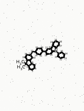 CC1(C)c2ccccc2-c2cc(Cc3ccc(-c4ccc5c(c4)c4ccccc4n5-c4ccccc4)cc3)ccc21